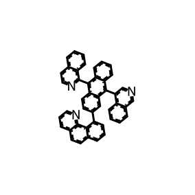 c1ccc2c(-c3c4ccccc4c(-c4nccc5ccccc45)c4ccc(-c5cccc6ccc7cccnc7c56)cc34)cncc2c1